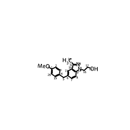 COc1ccc(Cc2ccc3c(c2)c(C)nn3CCO)cc1